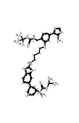 Cc1ncsc1-c1ccc(CNC(=O)OC(C)(C)C)c(OCCCCNc2nc3ccc(-c4cncc(N(C)C(=O)OC(C)C)c4)cc3s2)c1